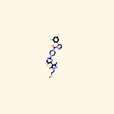 COCCn1nc(C)c(-c2nc(N3CCN(C(=O)N4N=CC[C@H]4c4cc(F)cc(F)c4)CC3)ncc2F)c1C